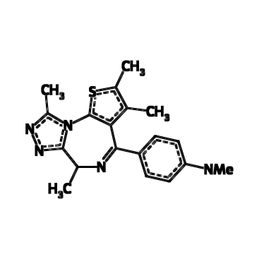 CNc1ccc(C2=NC(C)c3nnc(C)n3-c3sc(C)c(C)c32)cc1